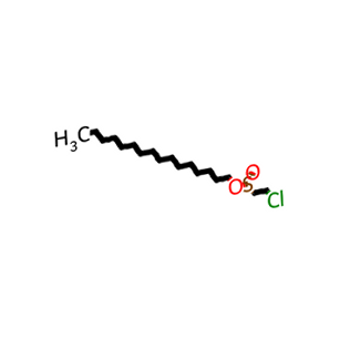 CCCCCCCCCCCCCCCCOS(=O)CCCl